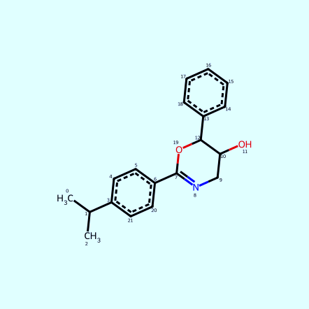 CC(C)c1ccc(C2=NCC(O)C(c3ccccc3)O2)cc1